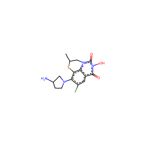 CC1Cn2c(=O)n(O)c(=O)c3cc(F)c(N4CCC(N)C4)c(c32)S1